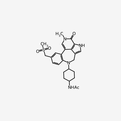 CC(=O)NC1CCC(N2Cc3c[nH]c4c(=O)n(C)cc(c34)-c3cc(CS(C)(=O)=O)ccc32)CC1